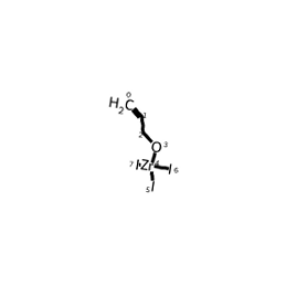 C=CC[O][Zr]([I])([I])[I]